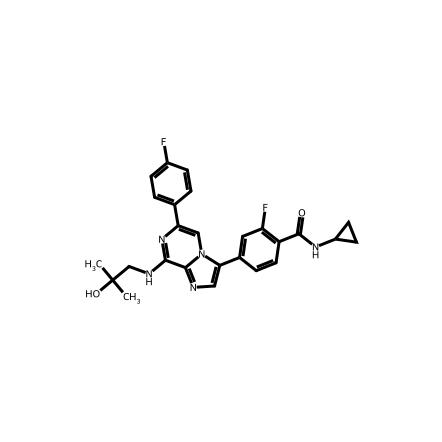 CC(C)(O)CNc1nc(-c2ccc(F)cc2)cn2c(-c3ccc(C(=O)NC4CC4)c(F)c3)cnc12